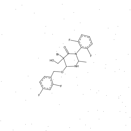 CC1NC(OCc2ccc(F)cc2F)C(Br)(CO)C(=O)N1c1c(F)cccc1F